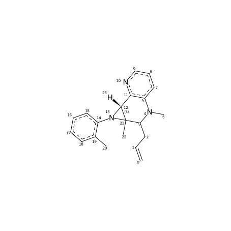 C=CCC1N(C)c2cccnc2[C@H]2N(c3ccccc3C)C12C